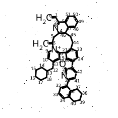 C=CC1=NC2CC(=C)[n+]3ccc(CC4CCCCC4)cc3-c3c(ccc4c3oc3nc(-c5cccc6c5CCCC6)ccc34)CCC2c2ccccc21